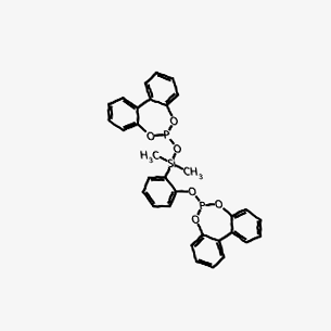 C[Si](C)(Op1oc2ccccc2c2ccccc2o1)c1ccccc1Op1oc2ccccc2c2ccccc2o1